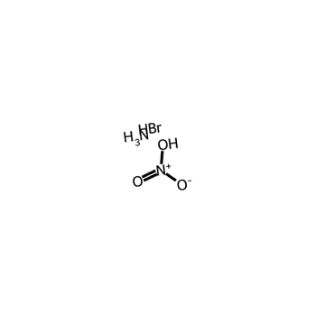 Br.N.O=[N+]([O-])O